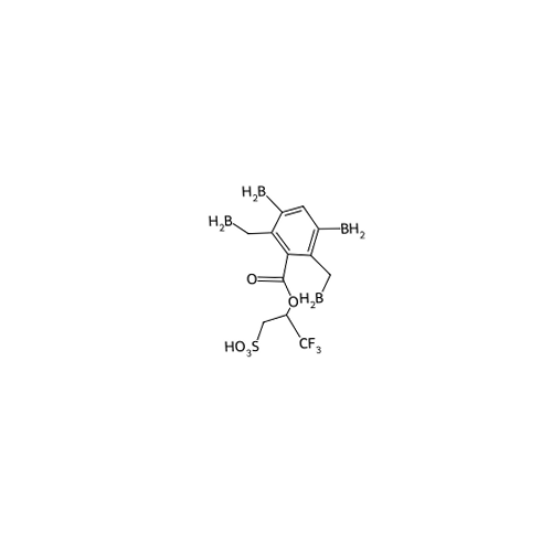 BCc1c(B)cc(B)c(CB)c1C(=O)OC(CS(=O)(=O)O)C(F)(F)F